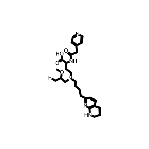 COC(CF)CN(CCCCc1ccc2c(n1)NCCC2)CCC(NC(=O)Cc1ccncc1)C(=O)O